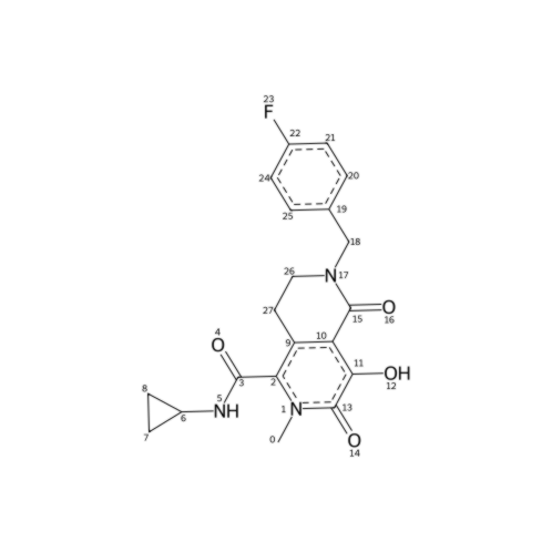 Cn1c(C(=O)NC2CC2)c2c(c(O)c1=O)C(=O)N(Cc1ccc(F)cc1)CC2